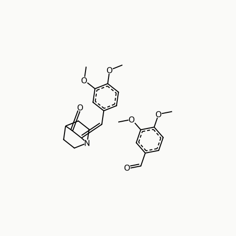 COc1ccc(/C=C2\C(=O)C3CCN2CC3)cc1OC.COc1ccc(C=O)cc1OC